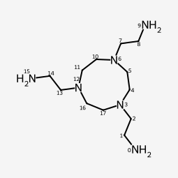 NCCN1CCN(CCN)CCN(CCN)CC1